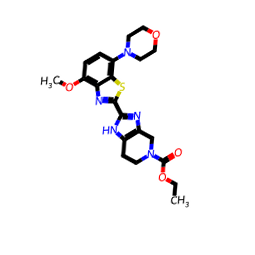 CCOC(=O)N1CCc2[nH]c(-c3nc4c(OC)ccc(N5CCOCC5)c4s3)nc2C1